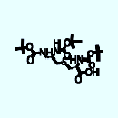 CC(C)(C)OC(=O)NC[C@@H](CSC[C@H](NC(=O)OC(C)(C)C)C(=O)O)NC(=O)OC(C)(C)C